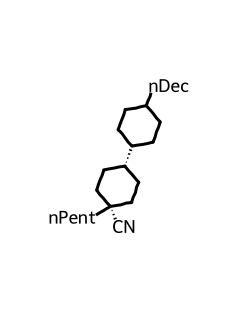 CCCCCCCCCCC1CCC([C@H]2CC[C@](C#N)(CCCCC)CC2)CC1